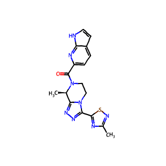 Cc1nsc(-c2nnc3n2CCN(C(=O)c2ccc4cc[nH]c4n2)[C@@H]3C)n1